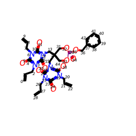 C=CCn1c(=O)n(CC=C)c(=O)n(CC2(Cn3c(=O)n(CC=C)c(=O)n(CC=C)c3=O)COP(=O)(OCc3ccccc3)OC2)c1=O